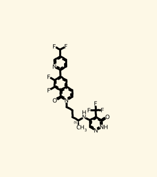 C[C@@H](CCCn1ccc2cc(-c3ccc(C(F)F)cn3)c(F)c(F)c2c1=O)Nc1cn[nH]c(=O)c1C(F)(F)F